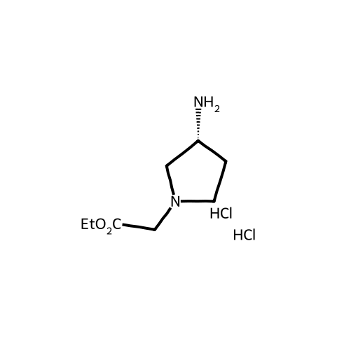 CCOC(=O)CN1CC[C@@H](N)C1.Cl.Cl